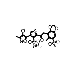 Cc1noc(-c2csc(C(=O)Cc3c(C)c(S(C)(=O)=O)cc4c3OCO4)c2S(N)(=O)=O)c1Cl